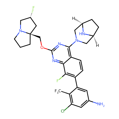 Nc1cc(Cl)c(C(F)(F)F)c(-c2ccc3c(N4C[C@H]5CC[C@@H](C4)N5)nc(OC[C@@]45CCCN4C[C@H](F)C5)nc3c2F)c1